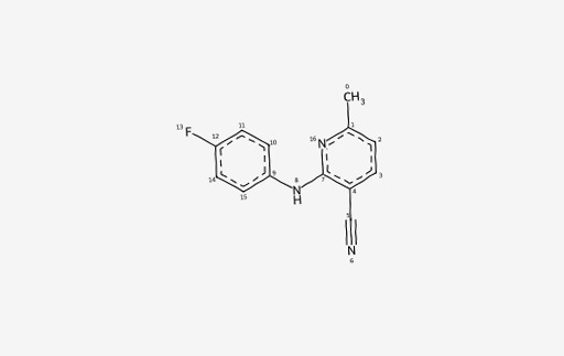 Cc1ccc(C#N)c(Nc2ccc(F)cc2)n1